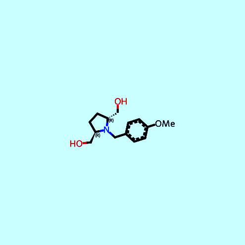 COc1ccc(CN2[C@@H](CO)CC[C@@H]2CO)cc1